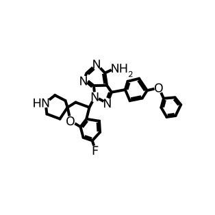 Nc1ncnc2c1c(-c1ccc(Oc3ccccc3)cc1)nn2C1CC2(CCNCC2)Oc2cc(F)ccc21